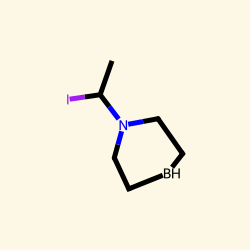 CC(I)N1CCBCC1